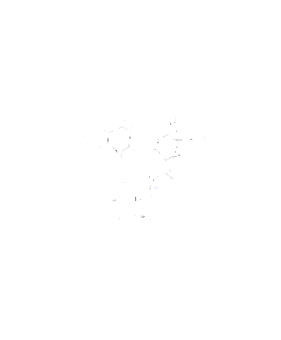 COc1ccc(Cc2cc(C(=O)/N=C/C3COCC[C@@H]3O)nc(C)c2Cl)cn1